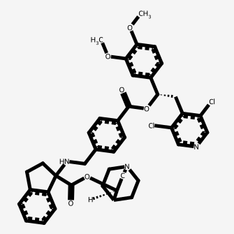 COc1ccc([C@H](Cc2c(Cl)cncc2Cl)OC(=O)c2ccc(CNC3(C(=O)O[C@H]4CN5CCC4CC5)CCc4ccccc43)cc2)cc1OC